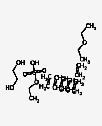 C=C.C=C.C=C.C=C.C=C.C=C.CCOCC.CCOS(=O)(=O)O.OCCO